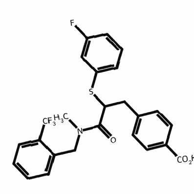 CN(Cc1ccccc1C(F)(F)F)C(=O)C(Cc1ccc(C(=O)O)cc1)Sc1cccc(F)c1